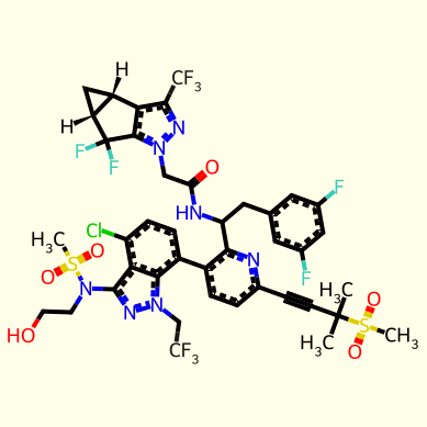 CC(C)(C#Cc1ccc(-c2ccc(Cl)c3c(N(CCO)S(C)(=O)=O)nn(CC(F)(F)F)c23)c(C(Cc2cc(F)cc(F)c2)NC(=O)Cn2nc(C(F)(F)F)c3c2C(F)(F)[C@@H]2C[C@H]32)n1)S(C)(=O)=O